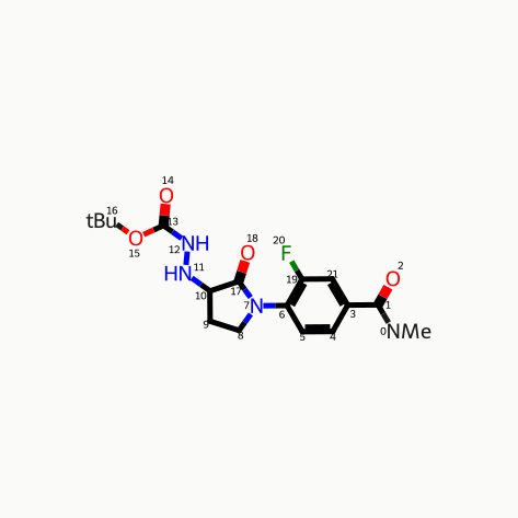 CNC(=O)c1ccc(N2CCC(NNC(=O)OC(C)(C)C)C2=O)c(F)c1